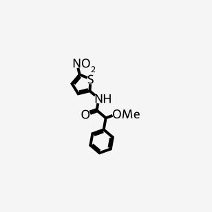 COC(C(=O)Nc1ccc([N+](=O)[O-])s1)c1ccccc1